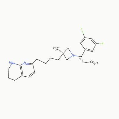 CC1(CCCCc2ccc3c(n2)NCCC3)CN([C@@H](CC(=O)O)c2cc(F)cc(F)c2)C1